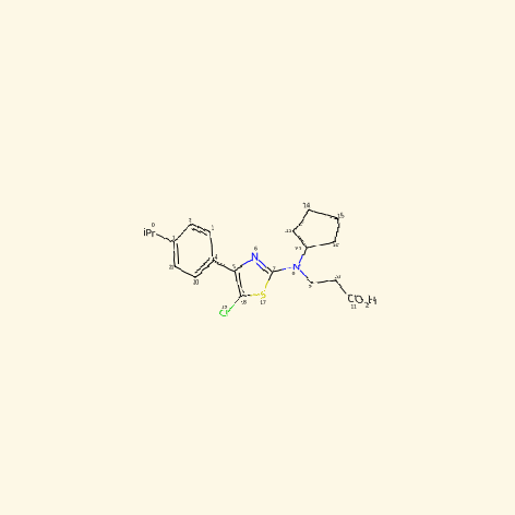 CC(C)c1ccc(-c2nc(N(CCC(=O)O)C3CCCC3)sc2Cl)cc1